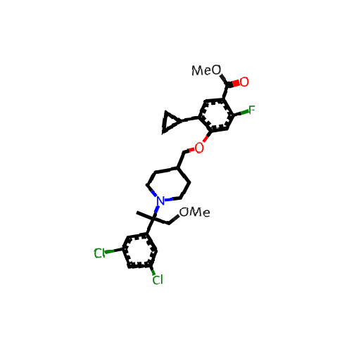 COCC(C)(c1cc(Cl)cc(Cl)c1)N1CCC(COc2cc(F)c(C(=O)OC)cc2C2CC2)CC1